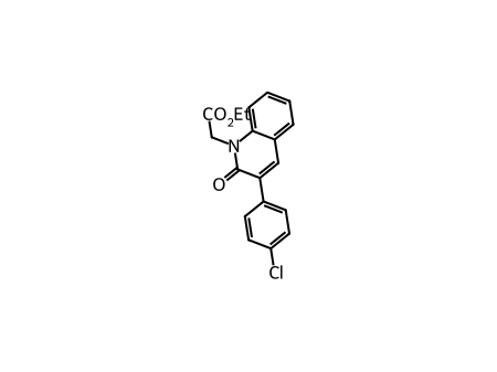 CCOC(=O)Cn1c(=O)c(-c2ccc(Cl)cc2)cc2ccccc21